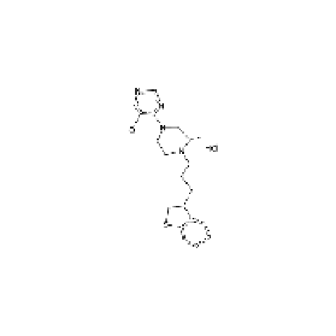 COc1cncnc1N1CCN(CCCC2CSc3ccccc32)C(C)C1.Cl